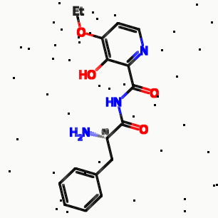 CCOc1ccnc(C(=O)NC(=O)[C@@H](N)Cc2ccccc2)c1O